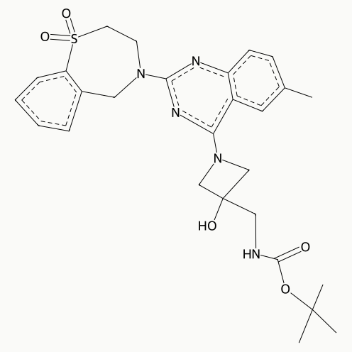 Cc1ccc2nc(N3CCS(=O)(=O)c4ccccc4C3)nc(N3CC(O)(CNC(=O)OC(C)(C)C)C3)c2c1